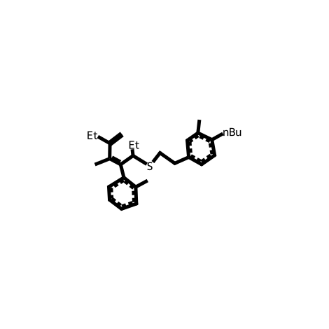 C=C(CC)/C(C)=C(/c1ccccc1C)C(CC)SCCc1ccc(CCCC)c(C)c1